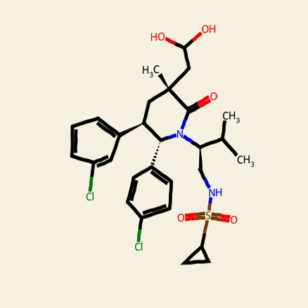 CC(C)[C@@H](CNS(=O)(=O)C1CC1)N1C(=O)[C@@](C)(CC(O)O)C[C@H](c2cccc(Cl)c2)[C@H]1c1ccc(Cl)cc1